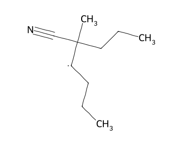 CCC[CH]C(C)(C#N)CCC